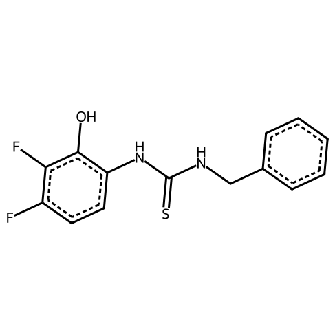 Oc1c(NC(=S)NCc2ccccc2)ccc(F)c1F